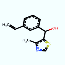 C=Cc1cccc(C(O)c2scnc2C)c1